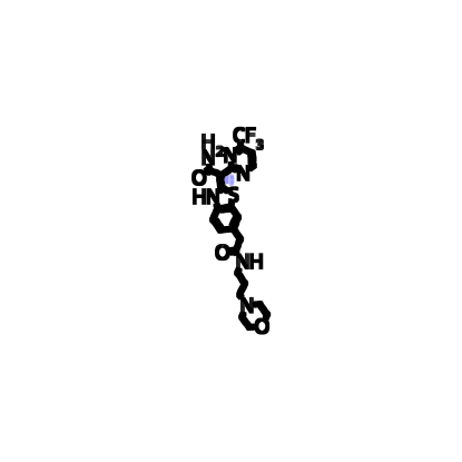 NC(=O)/C(=C1\Nc2ccc(CC(=O)NCCCN3CCOCC3)cc2S1)c1nccc(C(F)(F)F)n1